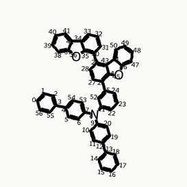 c1ccc(-c2ccc(N(c3ccc(-c4ccccc4)cc3)c3cccc(-c4ccc(-c5cccc6c5oc5ccccc56)c5c4oc4ccccc45)c3)cc2)cc1